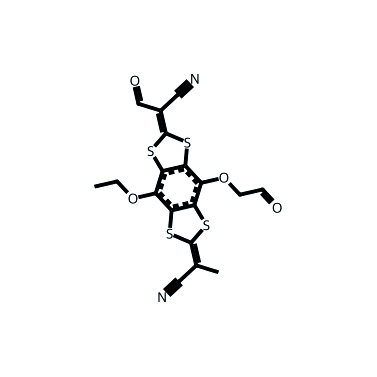 CCOc1c2c(c(OCC=O)c3c1S/C(=C(/C#N)C=O)S3)S/C(=C(\C)C#N)S2